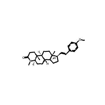 COc1ccc(/C=C/[C@H]2CC[C@H]3[C@@H]4CC[C@H]5N(C)C(=O)CC[C@]5(C)[C@H]4CC[C@]23C)cc1